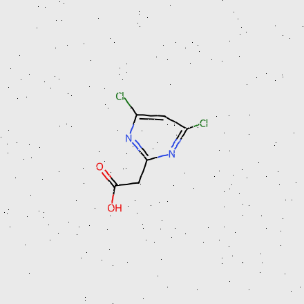 O=C(O)Cc1nc(Cl)cc(Cl)n1